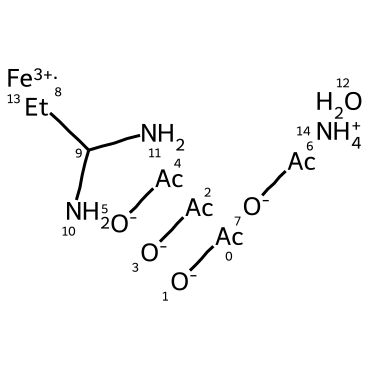 CC(=O)[O-].CC(=O)[O-].CC(=O)[O-].CC(=O)[O-].CCC(N)N.O.[Fe+3].[NH4+]